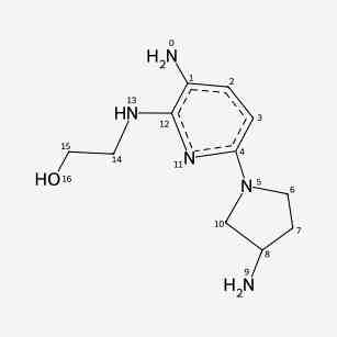 Nc1ccc(N2CCC(N)C2)nc1NCCO